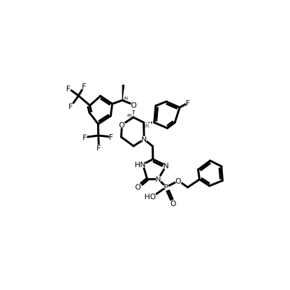 C[C@@H](O[C@H]1OCCN(Cc2nn(P(=O)(O)OCc3ccccc3)c(=O)[nH]2)[C@H]1c1ccc(F)cc1)c1cc(C(F)(F)F)cc(C(F)(F)F)c1